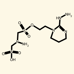 NNC1=NCCCN1CCOS(=O)(=O)CN(N)CS(=O)(=O)O